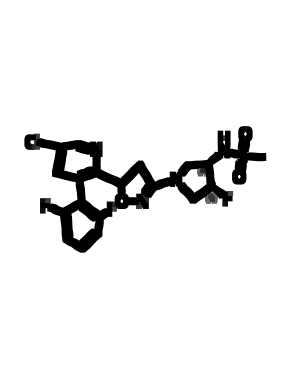 CS(=O)(=O)N[C@@H]1CN(C2=NOC(c3ncc(Cl)cc3-c3c(F)cccc3F)C2)C[C@@H]1F